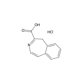 Cl.O=C(O)C1=NC=Cc2ccccc2C1